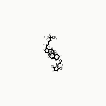 C[C@H](CCCC(F)(C(F)(F)F)C(F)(F)F)C1CC[C@H]2[C@@H]3CC=C4C[C@@H](OC(=O)ON5C(=O)CCC5=O)CC[C@]4(C)[C@H]3CC[C@]12C